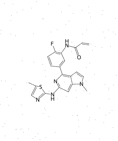 C=CC(=O)Nc1cc(-c2nc(Nc3ncc(C)s3)cc3c2ccn3C)ccc1F